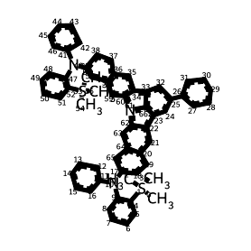 CS(C)(C)c1ccccc1N(c1ccccc1)c1ccc2cc3c4cc(-c5ccccc5)cc5c6cc7ccc(N(c8ccccc8)c8ccccc8S(C)(C)C)cc7cc6n(c3cc2c1)c45